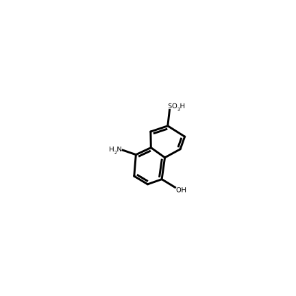 Nc1ccc(O)c2ccc(S(=O)(=O)O)cc12